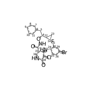 O=C(NOC(Cc1ccccc1)C1CC1)c1c[nH]c(=O)c(Cl)c1Nc1ccc(Br)cc1F